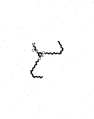 CCCCC/C=C\C/C=C\CCCCCCCCOc1cc(COC(=O)CCN(C)C)cc(OCCCCCCCC/C=C\C/C=C\CCCCC)n1